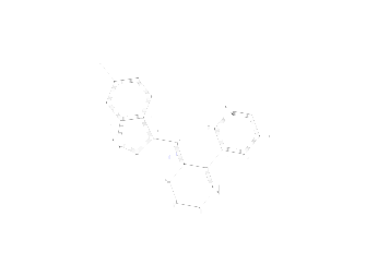 Cc1ccc2c(/C=C3\CCCN=C3c3cccnc3)c[nH]c2c1